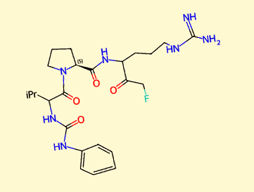 CC(C)C(NC(=O)Nc1ccccc1)C(=O)N1CCC[C@H]1C(=O)NC(CCCNC(=N)N)C(=O)CF